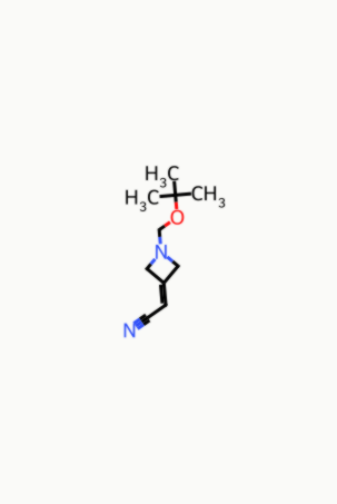 CC(C)(C)OCN1CC(=CC#N)C1